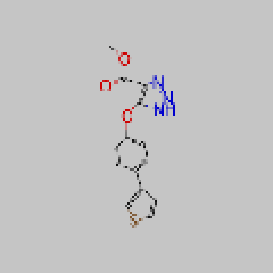 COC(=O)c1nn[nH]c1Oc1ccc(-c2ccsc2)cc1